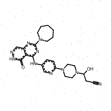 N#CCC(O)N1CCN(c2ccc(Nc3nc(N4CCCCCC4)nc4cn[nH]c(=O)c34)cn2)CC1